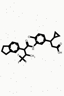 CC(C(C(=O)Nc1cc(C(CC(=O)O)C2CC2)ccc1Cl)c1ccc2c(c1)CCC2)C(F)(F)F